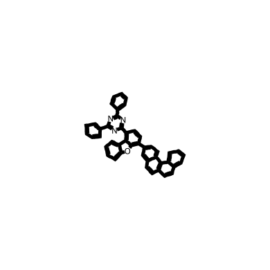 c1ccc(-c2nc(-c3ccccc3)nc(-c3ccc(-c4ccc5c(ccc6ccc7ccccc7c65)c4)c4oc5ccccc5c34)n2)cc1